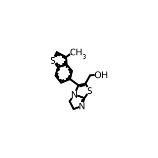 Cc1csc2ccc(C3=C(CO)SC4=NCCN43)cc12